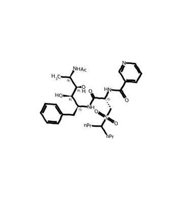 CCCC(CCC)S(=O)(=O)C[C@@H](NC(=O)c1cccnc1)C(=O)N[C@@H](Cc1ccccc1)[C@@H](O)[C@H](O)[C@@H](C)NC(C)=O